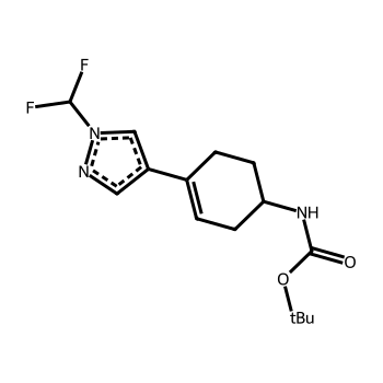 CC(C)(C)OC(=O)NC1CC=C(c2cnn(C(F)F)c2)CC1